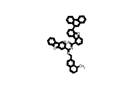 CC1CC=Cc2ccc(C/N=C(\N=C(/N)c3cccc4oc5c(-c6cc7ccccc7c7ccccc67)cccc5c34)c3ccc4c(c3)oc3ccccc34)cc21